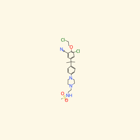 CC(C)(c1ccc(N2CCN(CCNS(C)(=O)=O)CC2)cc1)c1cc(Cl)c(OCCCl)c(C#N)c1